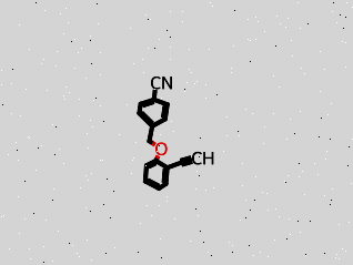 C#Cc1ccccc1OCc1ccc(C#N)cc1